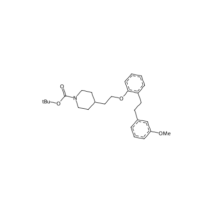 COc1cccc(CCc2ccccc2OCCC2CCN(C(=O)OC(C)(C)C)CC2)c1